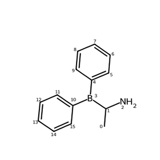 CC(N)B(c1ccccc1)c1ccccc1